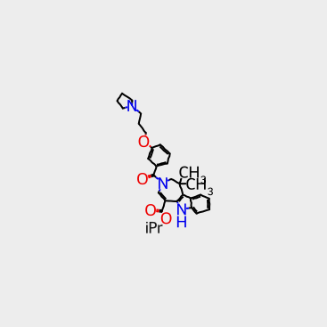 CC(C)OC(=O)C1=CN(C(=O)c2cccc(OCCCN3CCCC3)c2)CC(C)(C)c2c1[nH]c1ccccc21